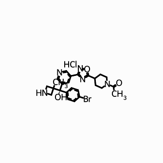 CC(=O)N1CCC(c2nc(-c3cncc([C@@](O)(c4ccc(Br)cc4)C4(C)CNC4)c3)no2)CC1.Cl